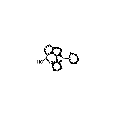 OB(O)c1cccc2ccc3c(c4ccccc4n3-c3ccccc3)c12